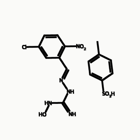 Cc1ccc(S(=O)(=O)O)cc1.N=C(NO)NN=Cc1cc(Cl)ccc1[N+](=O)[O-]